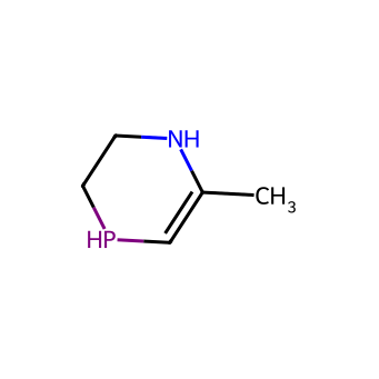 CC1=CPCCN1